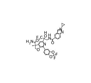 C[C@]1(C(N)=O)COc2c1cc(C(O)(CNC(=O)c1ccc3nn(C4CC4)cc3c1)C(F)(F)F)nc2-c1ccc2c(c1)OC(F)(F)O2